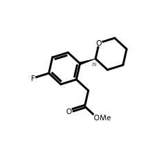 COC(=O)Cc1cc(F)ccc1[C@@H]1CCCCO1